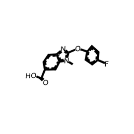 Cn1c(Oc2ccc(F)cc2)nc2ccc(C(=O)O)cc21